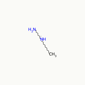 CCCCCCCCCCNC[CH]CCCCN